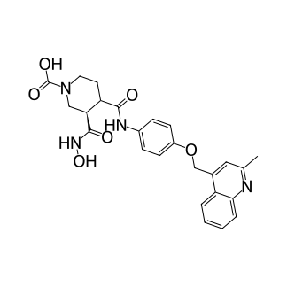 Cc1cc(COc2ccc(NC(=O)C3CCN(C(=O)O)C[C@@H]3C(=O)NO)cc2)c2ccccc2n1